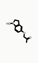 CC(=O)COc1ccc2c(c1)CCB2O